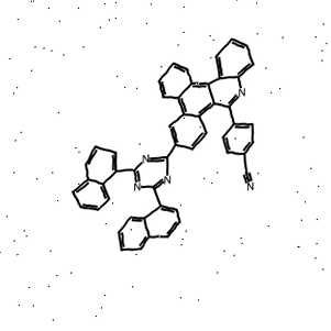 N#Cc1ccc(-c2nc3ccccc3c3c4ccccc4c4cc(-c5nc(-c6cccc7ccccc67)nc(-c6cccc7ccccc67)n5)ccc4c23)cc1